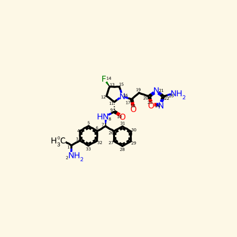 CC(N)c1ccc([C@@H](NC(=O)[C@@H]2C[C@@H](F)CN2C(=O)Cc2nc(N)no2)c2ccccc2)cc1